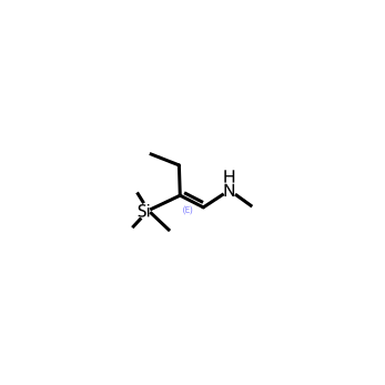 CC/C(=C\NC)[Si](C)(C)C